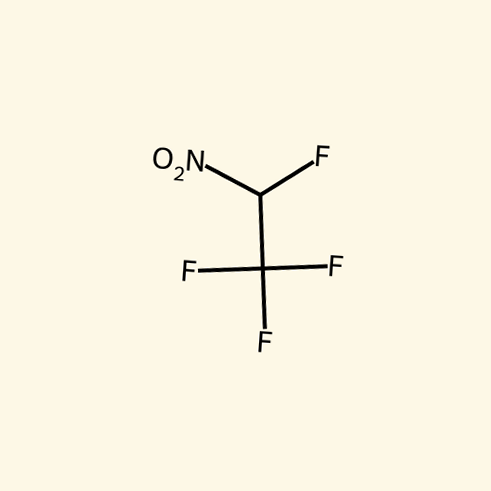 O=[N+]([O-])C(F)C(F)(F)F